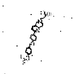 O=C(O)CCN1CCc2nc(-c3ccc(OCc4ccc(OC(F)F)cc4)cc3)ccc2C1